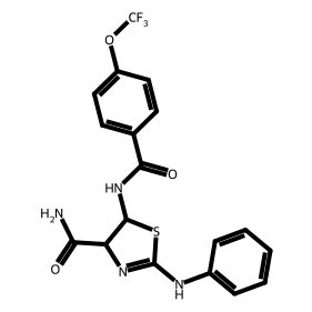 NC(=O)C1N=C(Nc2ccccc2)SC1NC(=O)c1ccc(OC(F)(F)F)cc1